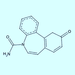 NC(=O)N1C=CC2=C(CC(=O)C=C2)c2ccccc21